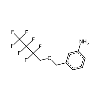 Nc1cccc(COCC(F)(F)C(F)(F)C(F)(F)F)c1